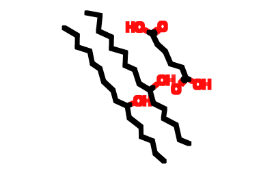 CCCCCCCCCC(O)CCCCCC.CCCCCCCCCC(O)CCCCCC.O=C(O)CCCCC(=O)O